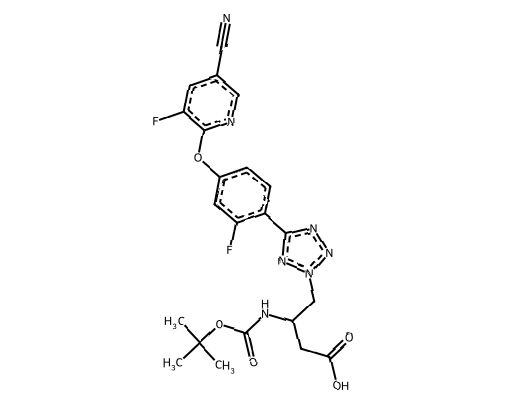 CC(C)(C)OC(=O)NC(CC(=O)O)Cn1nnc(-c2ccc(Oc3ncc(C#N)cc3F)cc2F)n1